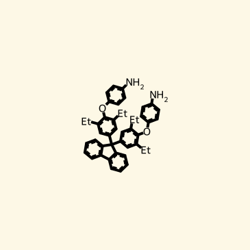 CCc1cc(C2(c3cc(CC)c(Oc4ccc(N)cc4)c(CC)c3)c3ccccc3-c3ccccc32)cc(CC)c1Oc1ccc(N)cc1